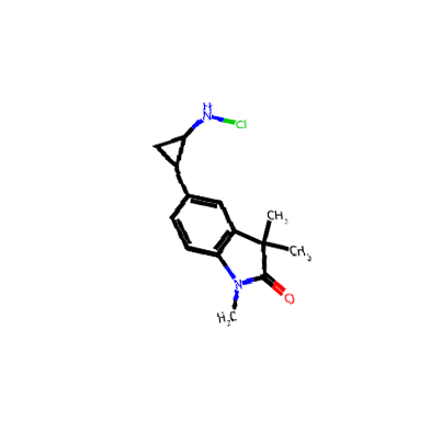 CN1C(=O)C(C)(C)c2cc(C3CC3NCl)ccc21